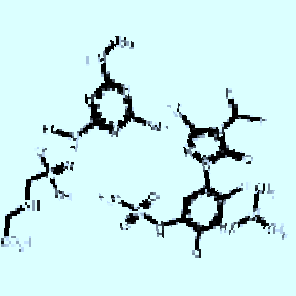 CCNc1nc(NC(C)(C)C)nc(SC)n1.C[S+](C)C.Cc1nn(-c2cc(NS(C)(=O)=O)c(Cl)cc2Cl)c(=O)n1C(F)F.O=C(O)CNCP(=O)([O-])O